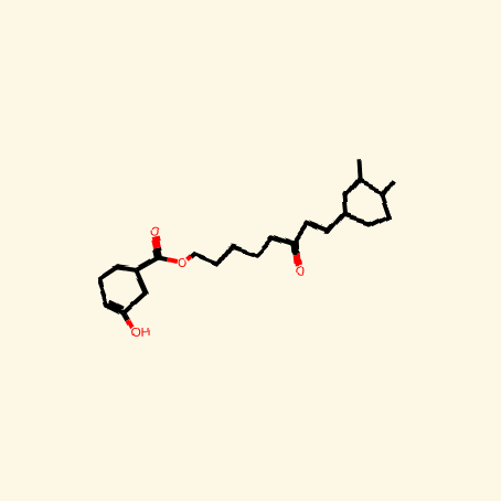 CC1CCC(CCC(=O)CCCCCOC(=O)C2CCC=C(O)C2)CC1C